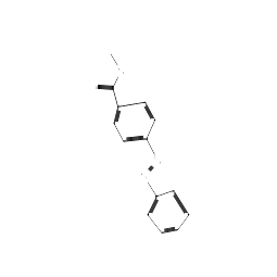 CNC(=O)c1ccc(/N=N/c2ccccc2)cc1